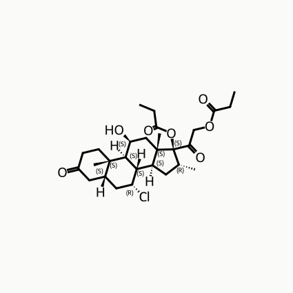 CCC(=O)OCC(=O)[C@]1(OC(=O)CC)[C@H](C)C[C@H]2[C@H]3[C@H]([C@@H](O)C[C@@]21C)[C@@]1(C)CCC(=O)C[C@H]1C[C@H]3Cl